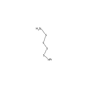 CCCSSSS[SiH3]